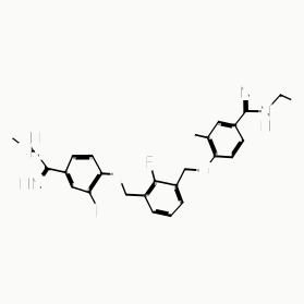 CCNC(=N)c1ccc(OCc2cccc(COc3ccc(C(=N)NCC)cc3F)c2F)c(F)c1